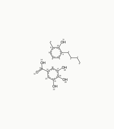 CCCCc1cccc(C)c1O.O=C(O)c1cc(O)c(O)c(O)c1